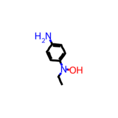 CCN(O)c1ccc(N)cc1